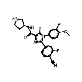 COc1ccc(-n2c(-c3ccc(C#N)c(F)c3)nc(C(=O)N[C@H]3CCNC3)c2C)cc1F